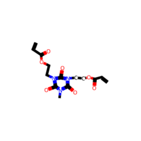 C=CC(=O)OCCn1c(=O)n(C)c(=O)n(CCOC(=O)C=C)c1=O